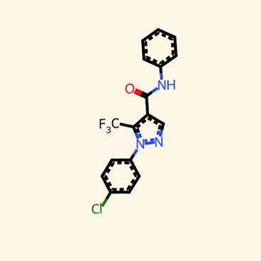 O=C(Nc1ccccc1)c1cnn(-c2ccc(Cl)cc2)c1C(F)(F)F